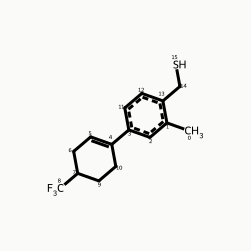 Cc1cc(C2=CCC(C(F)(F)F)CC2)ccc1CS